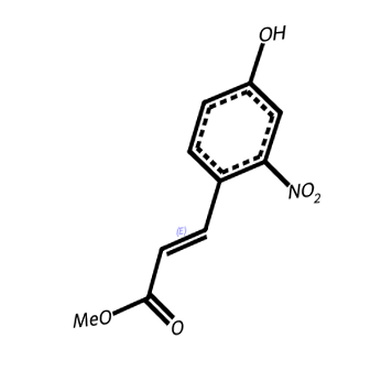 COC(=O)/C=C/c1ccc(O)cc1[N+](=O)[O-]